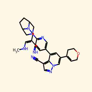 CN/C=C(\C=N)CN1C2CCC1CN(c1ccc(-c3cc(C4=CCOCC4)cn4ncc(C#N)c34)cn1)C2